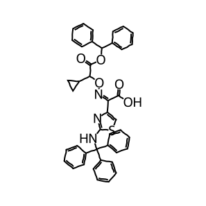 O=C(O)C(=NOC(C(=O)OC(c1ccccc1)c1ccccc1)C1CC1)c1csc(NC(c2ccccc2)(c2ccccc2)c2ccccc2)n1